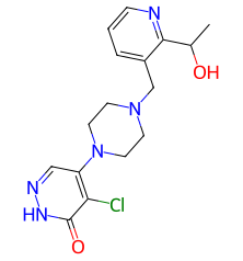 CC(O)c1ncccc1CN1CCN(c2cn[nH]c(=O)c2Cl)CC1